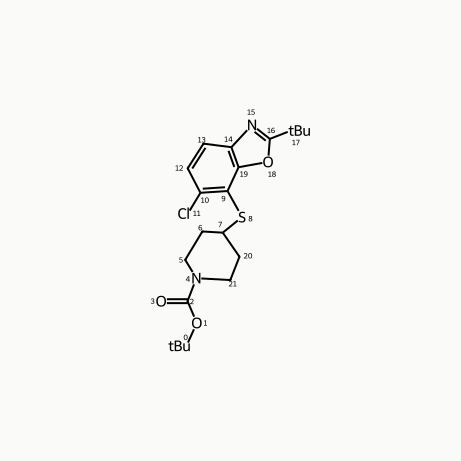 CC(C)(C)OC(=O)N1CCC(Sc2c(Cl)ccc3nc(C(C)(C)C)oc23)CC1